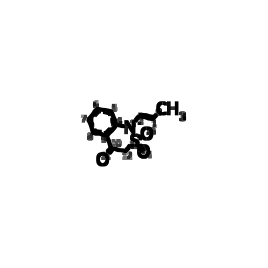 CC=CN1c2ccccc2C(=O)CS1(=O)=O